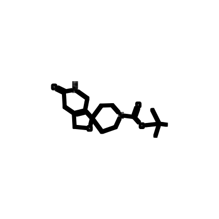 CC(C)(C)OC(=O)N1CCC2(CC1)OCC1=C2CNC(=O)C1